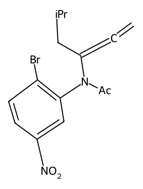 C=C=C(CC(C)C)N(C(C)=O)c1cc([N+](=O)[O-])ccc1Br